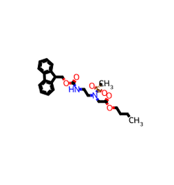 CCCCOC(=O)CN(CCNC(=O)OCC1c2ccccc2-c2ccccc21)S(C)(=O)=O